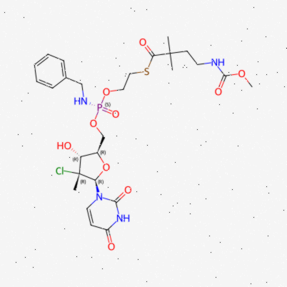 COC(=O)NCCC(C)(C)C(=O)SCCO[P@](=O)(NCc1ccccc1)OC[C@H]1O[C@@H](n2ccc(=O)[nH]c2=O)[C@](C)(Cl)[C@@H]1O